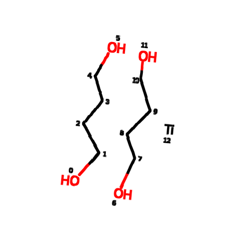 OCCCCO.OCCCCO.[Ti]